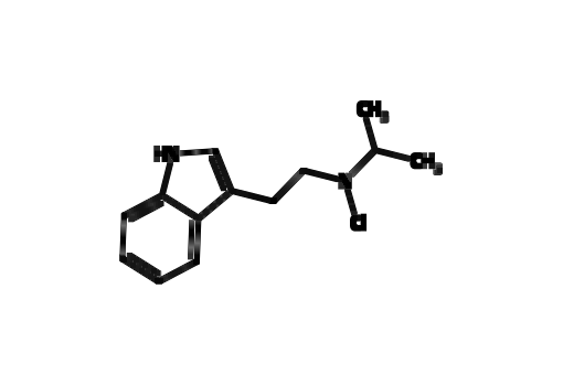 CC(C)N(Cl)CCc1c[nH]c2ccccc12